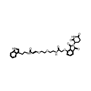 O=C(C=COCCOCCNC(=O)COc1cccc2c1C(=O)N(C1CCC(=O)NC1=O)C2=O)NCCc1c[nH]c2ccccc12